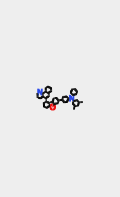 Cc1cc(C)cc(N(c2ccccc2)c2ccc(-c3ccc4c(c3)oc3cccc(-c5cc6ccccc6c6ncccc56)c34)cc2)c1